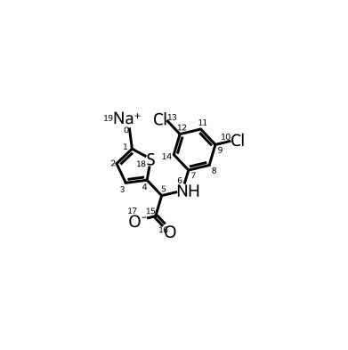 Cc1ccc(C(Nc2cc(Cl)cc(Cl)c2)C(=O)[O-])s1.[Na+]